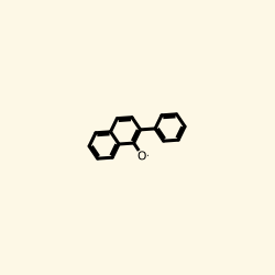 [O]c1c(-c2ccccc2)ccc2ccccc12